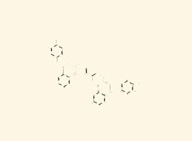 CN1CC(Oc2ccc(C(F)(F)F)cc2)c2ccccc2C1OC(=O)C(=O)OC1c2ccccc2C(Oc2ccc(C(F)(F)F)cc2)CN1C